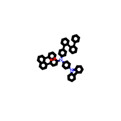 c1ccc(-c2ccccc2-c2ccccc2-c2ccc(N(c3ccc(-c4cccc5cccc(-c6ccccc6)c45)cc3)c3ccc(-n4c5ccccc5c5ccccc54)cc3)cc2)cc1